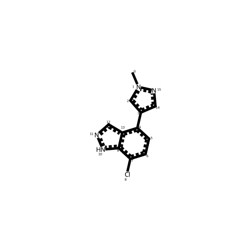 Cn1cc(-c2ccc(Cl)c3[nH]ncc23)cn1